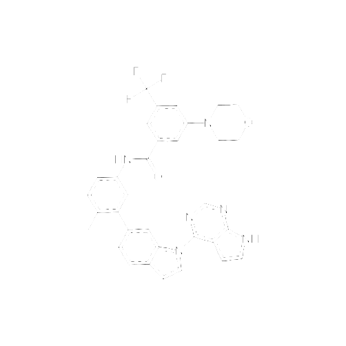 Cc1ccc(NC(=O)c2cc(N3CCOCC3)cc(C(F)(F)F)c2)cc1-c1ccc2ccn(-c3ncnc4[nH]ccc34)c2c1